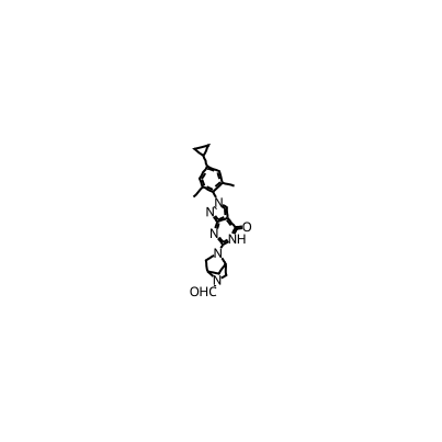 Cc1cc(C2CC2)cc(C)c1-n1cc2c(=O)[nH]c(N3CC4CC3CN4C=O)nc2n1